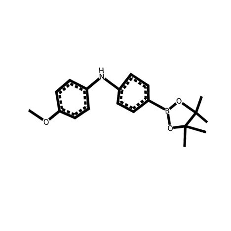 COc1ccc(Nc2ccc(B3OC(C)(C)C(C)(C)O3)cc2)cc1